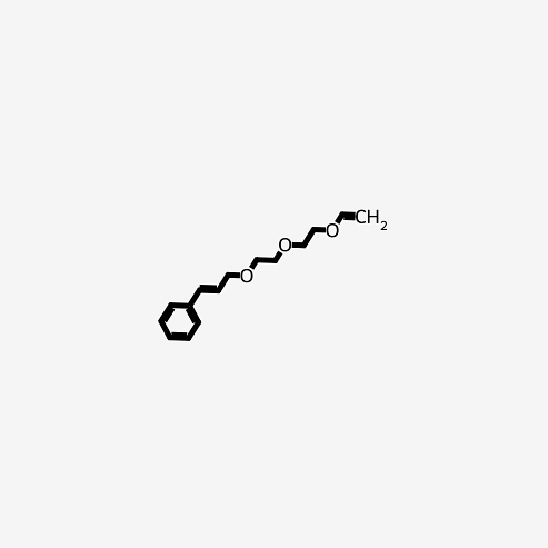 C=COCCOCCOC/C=C/c1ccccc1